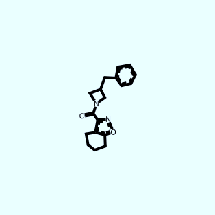 O=C(c1noc2c1CCCC2)N1CC(Cc2ccccc2)C1